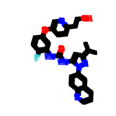 CC(C)c1cc(NC(=O)Nc2cc(Oc3ccc(CCO)nc3)ccc2F)n(-c2ccc3ncccc3c2)n1